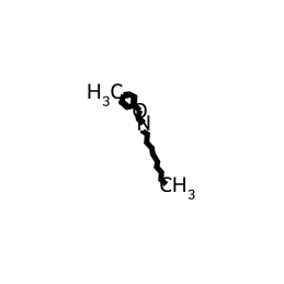 CCCCCCCCCC/N=C/Oc1ccc(C)cc1